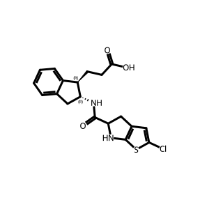 O=C(O)CC[C@@H]1c2ccccc2C[C@H]1NC(=O)C1Cc2cc(Cl)sc2N1